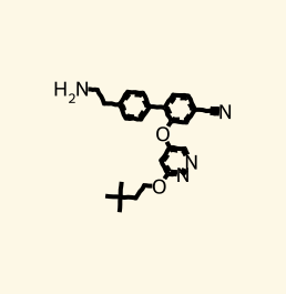 CC(C)(C)CCOc1cc(Oc2cc(C#N)ccc2-c2ccc(CCN)cc2)cnn1